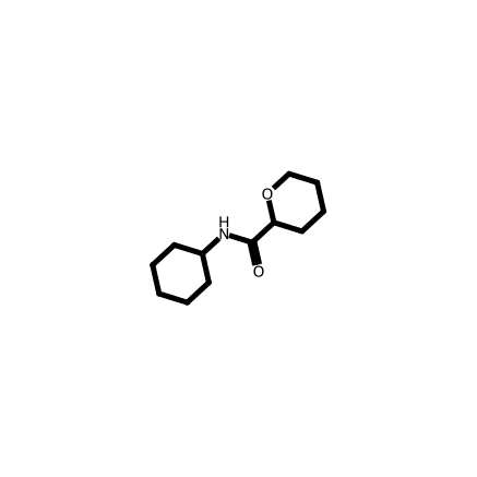 O=C(NC1CCCCC1)C1CCCCO1